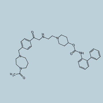 CC(=O)N1CCCN(Cc2ccc(C(=O)CNCCN3CCC(OC(=O)Nc4ccccc4-c4ccccc4)CC3)cc2)CC1